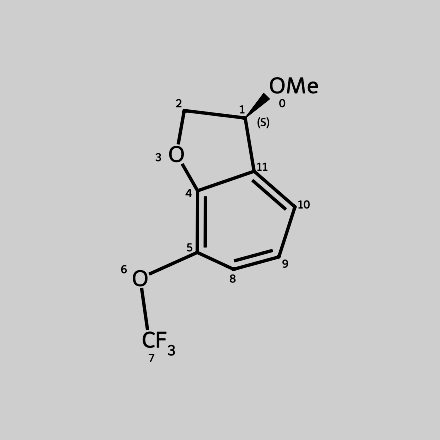 CO[C@@H]1COc2c(OC(F)(F)F)cccc21